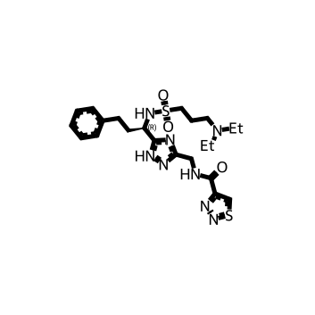 CCN(CC)CCCS(=O)(=O)N[C@H](CCc1ccccc1)c1nc(CNC(=O)c2csnn2)n[nH]1